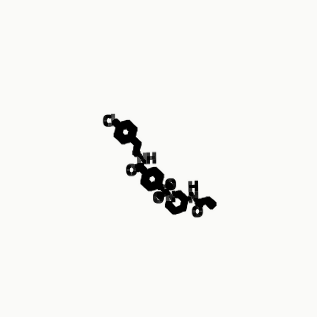 C=CC(=O)N[C@H]1CCCN(S(=O)(=O)c2ccc(C(=O)NCCc3ccc(Cl)cc3)cc2)C1